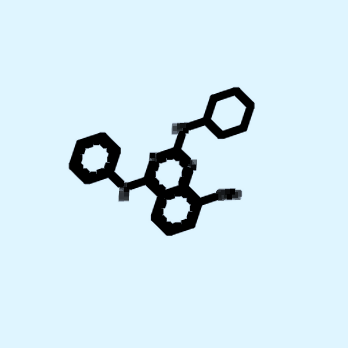 COc1cccc2c(Nc3ccccc3)nc(NC3CCCCC3)nc12